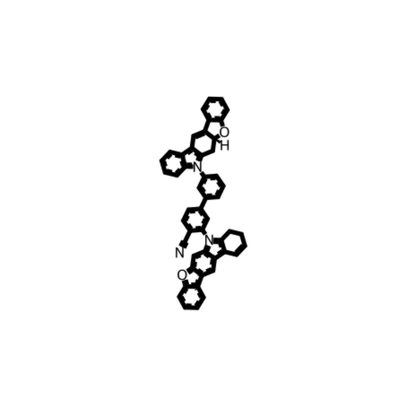 N#Cc1ccc(-c2cccc(-n3c4c(c5ccccc53)C=C3c5ccccc5O[C@@H]3C4)c2)cc1-n1c2c(c3cc4c(cc31)oc1ccccc14)C=CCC2